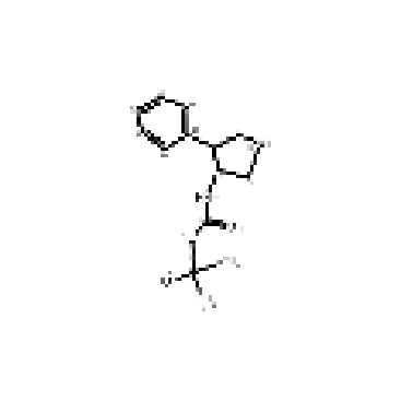 CC(C)(C)OC(=O)N[C@@H]1CNCC1c1ccccc1